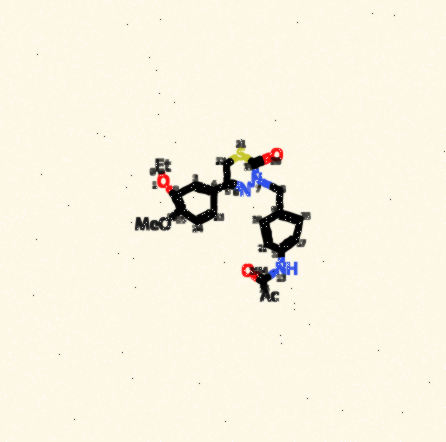 CCOc1cc(C2=NN(Cc3ccc(NC(=O)C(C)=O)cc3)C(=O)SC2)ccc1OC